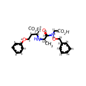 CCOC(=O)[C@H](CCOc1ccccc1)N[C@@H](C)C(=O)N(CC(=O)O)OCc1ccccc1